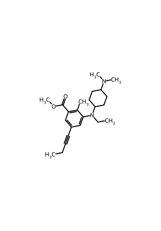 CCC#Cc1cc(C(=O)OC)c(C)c(N(CC)C2CCC(N(C)C)CC2)c1